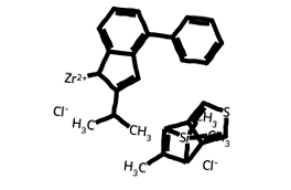 CC(C)C1=Cc2c(-c3ccccc3)cccc2[CH]1[Zr+2].CC1=C2c3cscc3C1[Si]2(C)C.[Cl-].[Cl-]